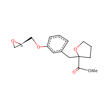 COC(=O)C1(Cc2cccc(OC[C@H]3CO3)c2)CCCO1